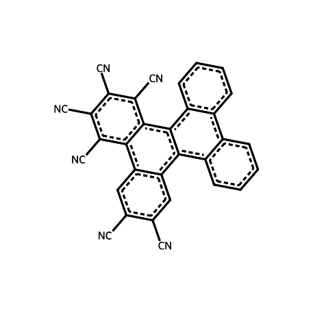 N#Cc1cc2c(cc1C#N)c1c3ccccc3c3ccccc3c1c1c(C#N)c(C#N)c(C#N)c(C#N)c21